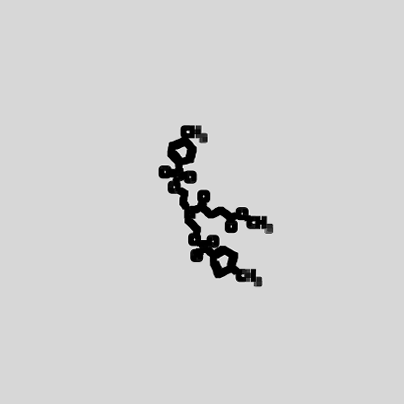 COC(=O)CCC(=O)N(CCOS(=O)(=O)c1ccc(C)cc1)CCOS(=O)(=O)c1ccc(C)cc1